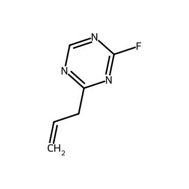 C=CCc1ncnc(F)n1